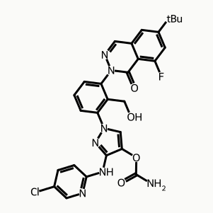 CC(C)(C)c1cc(F)c2c(=O)n(-c3cccc(-n4cc(OC(N)=O)c(Nc5ccc(Cl)cn5)n4)c3CO)ncc2c1